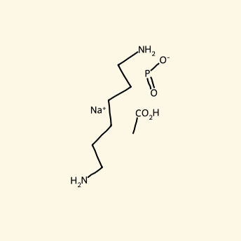 CC(=O)O.NCCCCCCN.O=P[O-].[Na+]